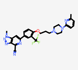 Cc1cccc(N2CCN(CCCOc3ccc(-c4cc5c(nnn5C)c(C#N)n4)cc3C(F)(F)F)CC2)n1